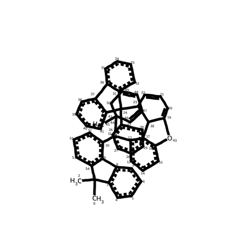 CC1(C)c2ccccc2-c2c(N(c3cccc4c3C3C(=CC=CC3C3(c5ccccc5)c5ccccc5-c5ccccc53)O4)C3(C)C=CC=CC3)cccc21